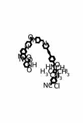 CC1(C)C(NC(=O)c2ccc(C#CC3CCN(CC4CCN(C(=O)C5CCN(c6ccc7nnn(C8CCC(=O)NC8=O)c(=O)c7c6)CC5)CC4)CC3)cc2)C(C)(C)C1Oc1ccc(C#N)c(Cl)c1